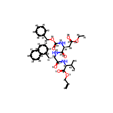 C=CCOC(=O)[C@@H](NC(=O)[C@H](Cc1cccc2ccccc12)NC(=O)[C@H](CC(=O)OCC)NC(=O)OCc1ccccc1)C(C)C